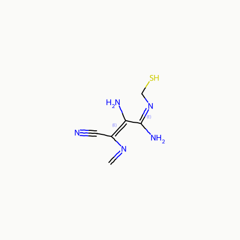 C=N/C(C#N)=C(N)\C(N)=N/CS